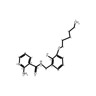 CCCCCCOc1cccc(CNC(=O)c2cccnc2N)c1F